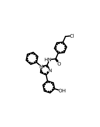 O=C(Nc1nc(-c2cccc(O)c2)cn1-c1ccccc1)c1ccc(CCl)cc1